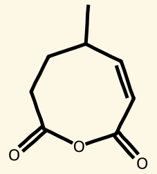 CC1C=CC(=O)OC(=O)CC1